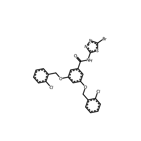 O=C(Nc1nnc(Br)s1)c1cc(OCc2ccccc2Cl)cc(OCc2ccccc2Cl)c1